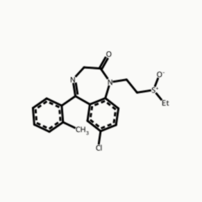 CC[S+]([O-])CCN1C(=O)CN=C(c2ccccc2C)c2cc(Cl)ccc21